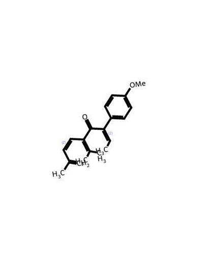 C=C(C)/C=C\C(C(=O)/C(=C\C)c1ccc(OC)cc1)=C(C)C